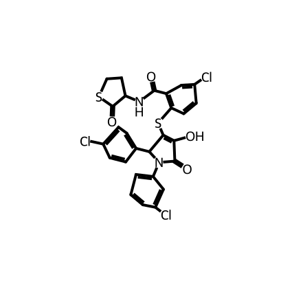 O=C(NC1CCSC1=O)c1cc(Cl)ccc1SC1=C(O)C(=O)N(c2cccc(Cl)c2)C1c1ccc(Cl)cc1